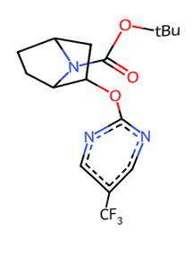 CC(C)(C)OC(=O)N1C2CCC1C(Oc1ncc(C(F)(F)F)cn1)C2